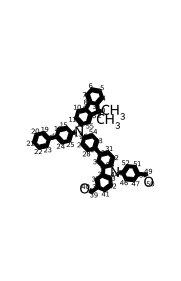 CC1(C)c2ccccc2-c2ccc(N(c3ccc(-c4ccccc4)cc3)c3ccc(-c4ccc5c(c4)c4cc(C=O)ccc4n5-c4ccc(C=O)cc4)cc3)cc21